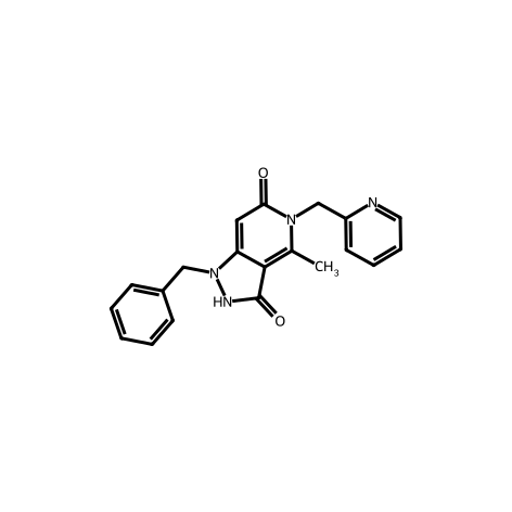 Cc1c2c(=O)[nH]n(Cc3ccccc3)c2cc(=O)n1Cc1ccccn1